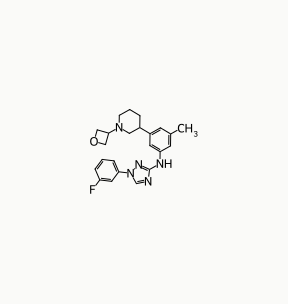 Cc1cc(Nc2ncn(-c3cccc(F)c3)n2)cc(C2CCCN(C3COC3)C2)c1